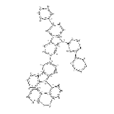 c1ccc(-c2cccc(-n3c4ccc(-c5ccccc5)cc4c4ccc(-c5ccc6c(c5)c5ccccc5n6-c5cccc6c5-c5ccccc5CO6)cc43)c2)cc1